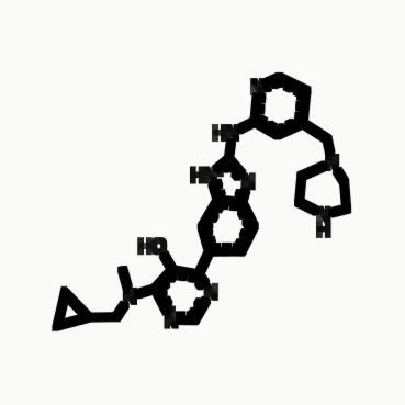 CN(CC1CC1)c1ncnc(-c2ccc3nc(Nc4cc(CN5CCNCC5)ccn4)[nH]c3c2)c1O